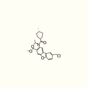 COC(=O)c1cc2oc3ccc(CCl)cc3c2cc1N(C(=O)[C@H]1CC[C@H](C)CC1)C(C)C